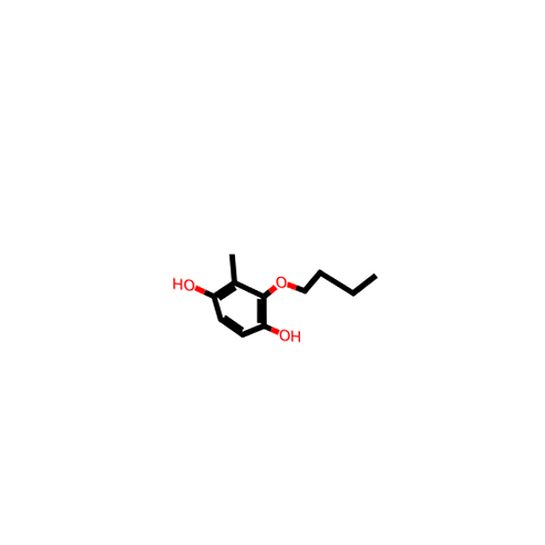 CCCCOc1c(O)ccc(O)c1C